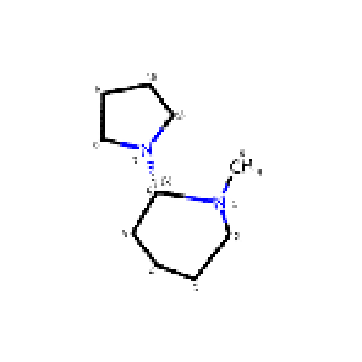 CN1CCCC[C@@H]1N1CCCC1